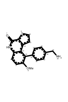 COc1ccc2[nH]c(=O)c3sccc3c2c1-c1ccc(CN)cc1